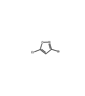 [CH2]Cc1cc(Br)no1